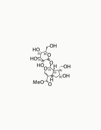 COC(=O)C1=CO[C@@H](O[C@@H]2O[C@H](CO)[C@@H](O)[C@H](O)[C@H]2O)[C@@H]2[C@H](CO)[C@H](O)C[C@H]12